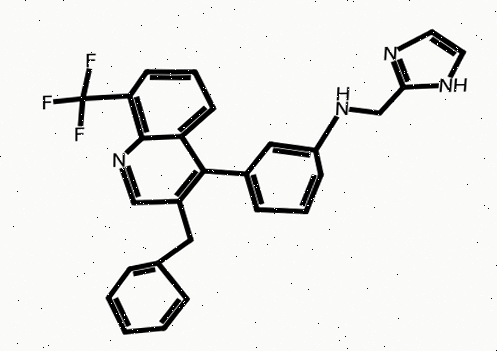 FC(F)(F)c1cccc2c(-c3cccc(NCc4ncc[nH]4)c3)c(Cc3ccccc3)cnc12